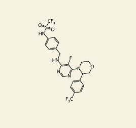 O=S(=O)(Nc1ccc(CNc2ncnc(N3CCOCC3c3ccc(C(F)(F)F)cc3)c2F)cc1)C(F)(F)F